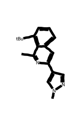 Cc1nc(-c2cnn(C)c2)cc2cccc(C(C)(C)C)c12